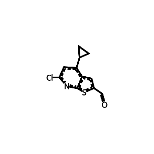 O=Cc1cc2c(C3CC3)cc(Cl)nc2s1